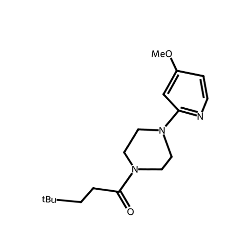 COc1ccnc(N2CCN(C(=O)CCC(C)(C)C)CC2)c1